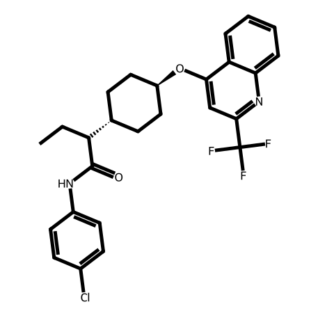 CCC(C(=O)Nc1ccc(Cl)cc1)[C@H]1CC[C@H](Oc2cc(C(F)(F)F)nc3ccccc23)CC1